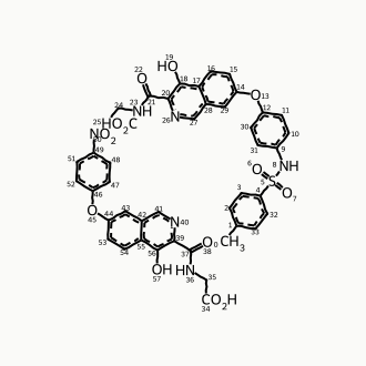 Cc1ccc(S(=O)(=O)Nc2ccc(Oc3ccc4c(O)c(C(=O)NCC(=O)O)ncc4c3)cc2)cc1.O=C(O)CNC(=O)c1ncc2cc(Oc3ccc([N+](=O)[O-])cc3)ccc2c1O